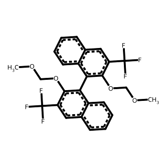 COCOc1c(C(F)(F)F)cc2ccccc2c1-c1c(OCOC)c(C(F)(F)F)cc2ccccc12